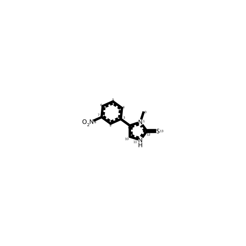 Cn1c(-c2cccc([N+](=O)[O-])c2)c[nH]c1=S